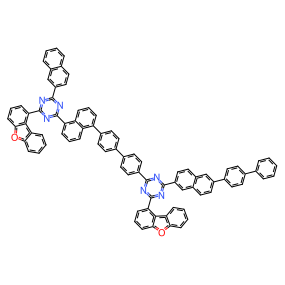 c1ccc(-c2ccc(-c3ccc4cc(-c5nc(-c6ccc(-c7ccc(-c8cccc9c(-c%10nc(-c%11ccc%12ccccc%12c%11)nc(-c%11cccc%12oc%13ccccc%13c%11%12)n%10)cccc89)cc7)cc6)nc(-c6cccc7oc8ccccc8c67)n5)ccc4c3)cc2)cc1